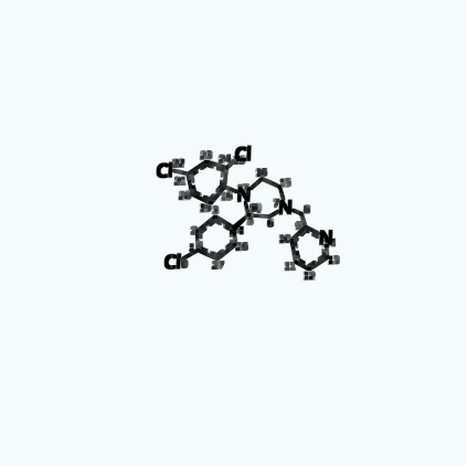 Clc1ccc([C@@H]2CN(Cc3ccccn3)CCN2c2ccc(Cl)cc2Cl)cc1